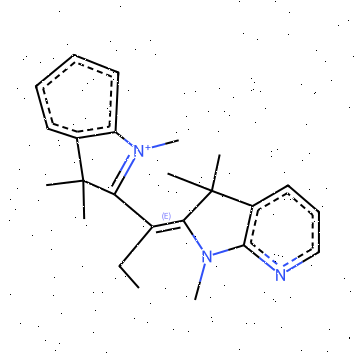 CC/C(C1=[N+](C)c2ccccc2C1(C)C)=C1\N(C)c2ncccc2C1(C)C